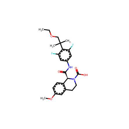 CCOCC(C)(C)c1c(F)cc(NC(=O)[C@@H]2c3ccc(OC)cc3CCN2C(=O)O)cc1F